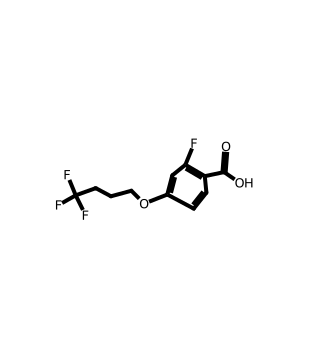 O=C(O)c1ccc(OCCCC(F)(F)F)cc1F